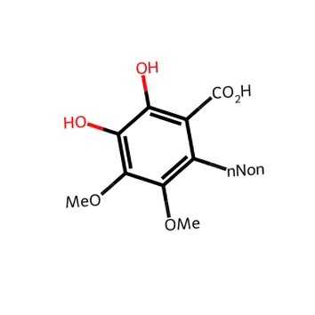 CCCCCCCCCc1c(OC)c(OC)c(O)c(O)c1C(=O)O